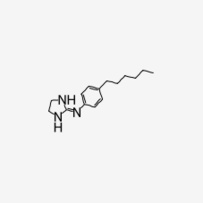 CCCCCCc1ccc(N=C2NCCN2)cc1